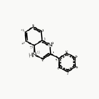 C1=CC2=NC(c3ccccc3)=CNC2C=C1